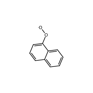 [O]Oc1cccc2ccccc12